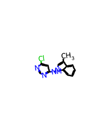 Cc1cn(Nc2cc(Cl)ncn2)c2ccccc12